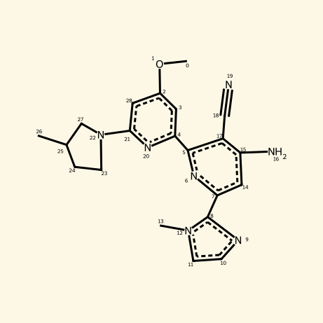 COc1cc(-c2nc(-c3nccn3C)cc(N)c2C#N)nc(N2CCC(C)C2)c1